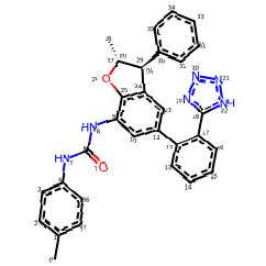 Cc1ccc(NC(=O)Nc2cc(-c3ccccc3-c3nnn[nH]3)cc3c2O[C@H](C)[C@H]3c2ccccc2)cc1